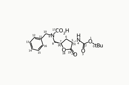 CC(C)(C)OC(=O)N[C@H]1C[C@H](CN(Cc2ccccc2)C(=O)O)OC1=O